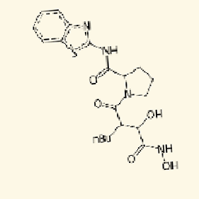 CCCCC(C(=O)N1CCCC1C(=O)Nc1nc2ccccc2s1)C(O)C(=O)NO